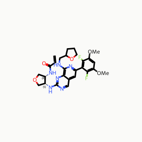 C=CC(=O)N[C@H]1COC[C@H]1Nc1ncc2cc(-c3c(F)c(OC)cc(OC)c3F)nc(NCC3CCCO3)c2n1